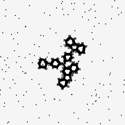 c1ccc(-c2ccc(N(c3ccc(-n4c5ccccc5c5ccccc54)cc3)c3cc4c5ccccc5sc4c4ccccc34)cc2)cc1